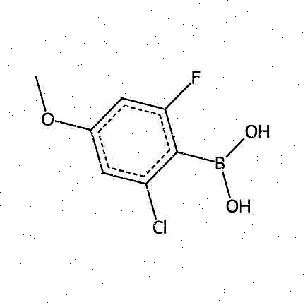 COc1cc(F)c(B(O)O)c(Cl)c1